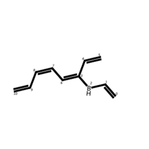 C=CB/C(C=C)=C/C=C\C=C